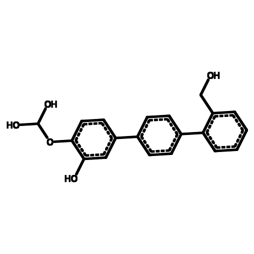 OCc1ccccc1-c1ccc(-c2ccc(OC(O)O)c(O)c2)cc1